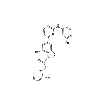 N#Cc1cc(Nc2nccc(-c3cc(C#N)c4c(c3)CCN4C(=O)Cc3ccccc3Cl)n2)ccn1